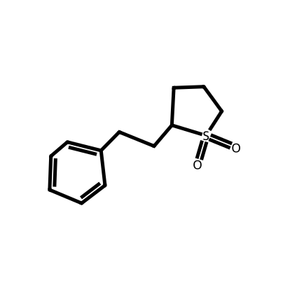 O=S1(=O)CCCC1CCc1ccccc1